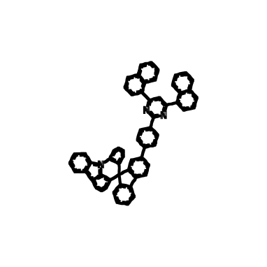 c1ccc2c(c1)-c1ccc(-c3ccc(-c4nc(-c5cccc6ccccc56)cc(-c5cccc6ccccc56)n4)cc3)cc1C21c2ccccc2-n2c3ccccc3c3cccc1c32